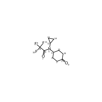 O=C1CCC(N(C(=O)C(F)(F)F)C2CC2)CC1